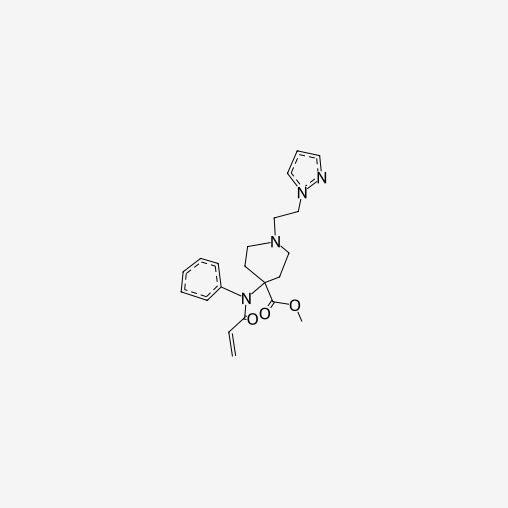 C=CC(=O)N(c1ccccc1)C1(C(=O)OC)CCN(CCn2cccn2)CC1